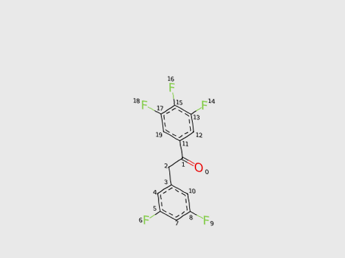 O=C(Cc1cc(F)cc(F)c1)c1cc(F)c(F)c(F)c1